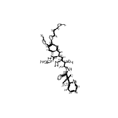 COCCCOc1cc(CC(CC(N)C(O)CNC(=O)C(C)(C)c2ccccn2)C(C)C)ccc1OC.Cl.Cl